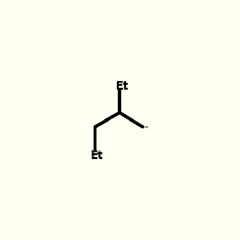 [CH2]CCC([CH2])CC